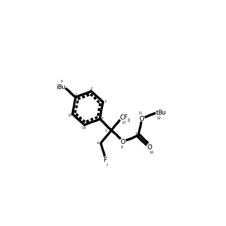 CCC(C)c1ccc(C(CF)(OC(=O)OC(C)(C)C)C(F)(F)F)cc1